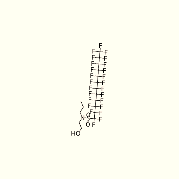 CCCN(CCO)S(=O)(=O)C(F)(F)C(F)(F)C(F)(F)C(F)(F)C(F)(F)C(F)(F)C(F)(F)C(F)(F)C(F)(F)C(F)(F)C(F)(F)C(F)(F)F